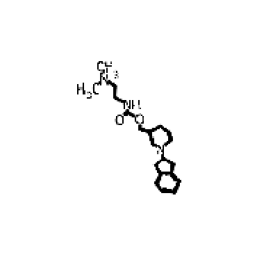 CN(C)CCNC(=O)OCC1CCCN(C2Cc3ccccc3C2)C1